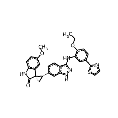 CCOc1ccc(-c2nccs2)cc1Nc1n[nH]c2cc([C@@H]3C[C@@]34C(=O)Nc3ccc(OC)cc34)ccc12